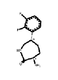 N[C@@H]1CC[C@@H](c2cccc(F)c2F)CPC1=O